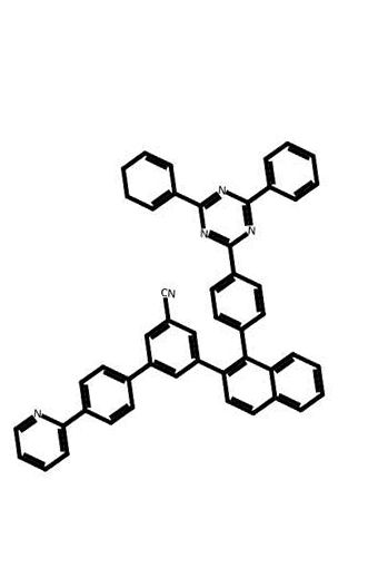 N#Cc1cc(-c2ccc(-c3ccccn3)cc2)cc(-c2ccc3ccccc3c2-c2ccc(-c3nc(C4=CCCC=C4)nc(-c4ccccc4)n3)cc2)c1